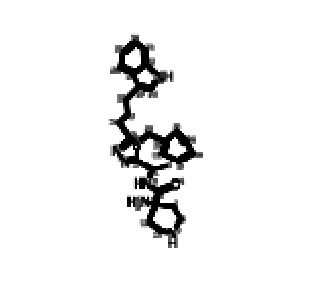 C[C@@H](NC(=O)C1(N)CCNCC1)c1nnc(CCCc2c[nH]c3ccccc23)n1Cc1ccccc1